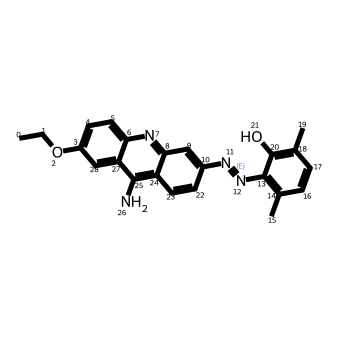 CCOc1ccc2nc3cc(/N=N/c4c(C)ccc(C)c4O)ccc3c(N)c2c1